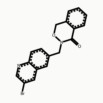 O=C1c2ccccc2CON1Cc1ccc2ncc(Br)cc2c1